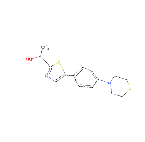 OC(c1ncc(-c2ccc(N3CCSCC3)cc2)s1)C(F)(F)F